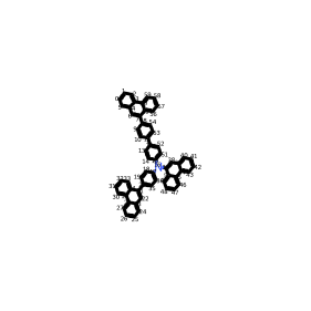 c1ccc2c(c1)cc(-c1ccc(-c3ccc(N(c4ccc(-c5cc6ccccc6c6ccccc56)cc4)c4cc5ccccc5c5ccccc45)cc3)cc1)c1ccccc12